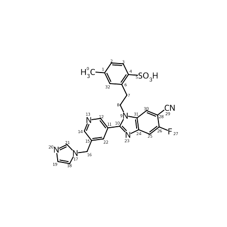 Cc1ccc(S(=O)(=O)O)c(CCn2c(-c3cncc(Cn4ccnc4)c3)nc3cc(F)c(C#N)cc32)c1